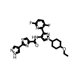 CCOC1CCC(n2cc(NC(=O)c3csc(-c4cn[nH]c4)n3)c(-c3nc(F)ccc3F)n2)CC1